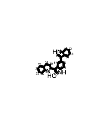 Oc1[nH]c2ccc(-c3c[nH]c4ccccc34)cc2c1-c1ccc2ccccc2n1